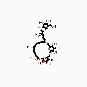 CC1=C/C=C/C=C(/C=C/C=C(\C)C(=O)O[C@@H]2OC(CO)[C@@H](O)C(O)C2O)OCC2O[C@@H](OCC3O[C@@H](OC(=O)\C(C)=C\C=C\1)C(O)C(O)[C@@H]3O)C(O)C(O)[C@@H]2O